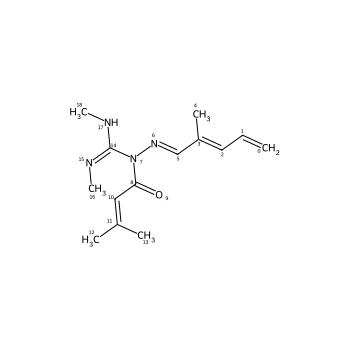 C=C/C=C(C)/C=N/N(C(=O)C=C(C)C)/C(=N\C)NC